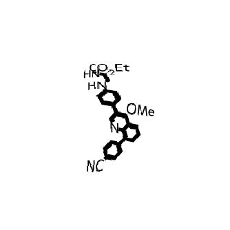 CCOC(=O)N[C@H](C)CNc1ccc(-c2cnc3c(-c4ccc(C#N)cc4)cccc3c2OC)cc1